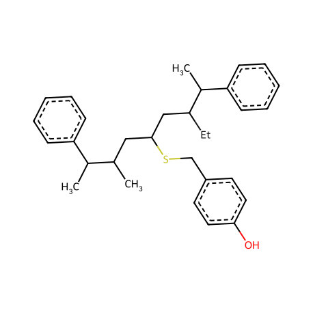 CCC(CC(CC(C)C(C)c1ccccc1)SCc1ccc(O)cc1)C(C)c1ccccc1